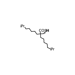 CC(C)CCCCCC(CS)(CCCCCC(C)C)C(=O)O